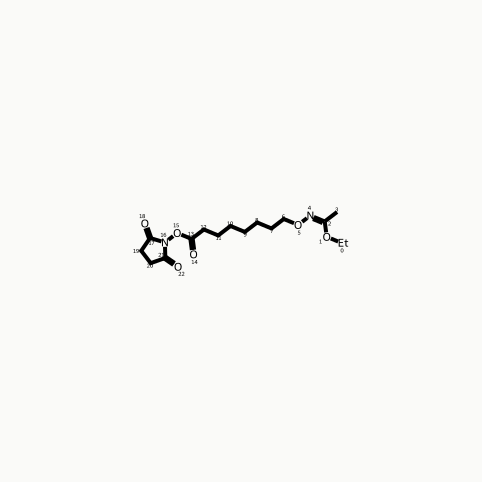 CCO/C(C)=N\OCCCCCCCC(=O)ON1C(=O)CCC1=O